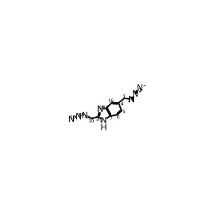 [N-]=[N+]=NCc1ccc2[nH]c(CN=[N+]=[N-])nc2c1